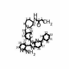 C=CC(=O)NC1CCCN(Cc2ccc(-n3c(-c4cccnc4N)nc4ccc(-c5ccccc5)nc43)cc2)CC1